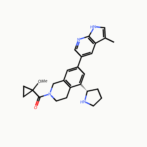 COC1(C(=O)N2CCc3c(cc(-c4cnc5[nH]cc(C)c5c4)cc3[C@@H]3CCCN3)C2)CC1